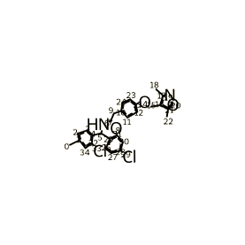 Cc1ccc(C(NC(=O)Cc2ccc(OCc3c(C)noc3C)cc2)c2ccc(Cl)cc2)c(Cl)c1